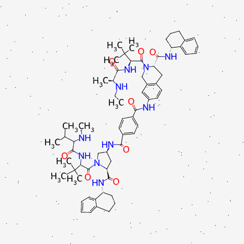 CCN[C@@H](C)C(=O)N[C@H](C(=O)N1Cc2cc(NC(=O)c3ccc(C(=O)N[C@H]4C[C@@H](C(=O)N[C@@H]5CCCc6ccccc65)N(C(=O)C(NC(=O)C(NC)C(C)C)C(C)(C)C)C4)cc3)ccc2C[C@H]1C(=O)N[C@@H]1CCCc2ccccc21)C(C)(C)C